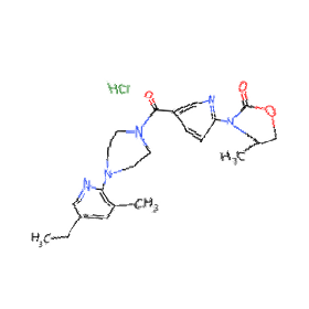 CCc1cnc(N2CCN(C(=O)c3ccc(N4C(=O)OCC4C)nc3)CC2)c(C)c1.Cl